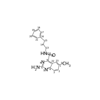 Cc1ccc2nc(N)nc(C(=O)NCCCc3ccccc3)c2c1